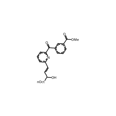 CCCCCCCCC(O)/C=C/c1cccc(C(=O)c2cccc(C(=O)OC)c2)n1